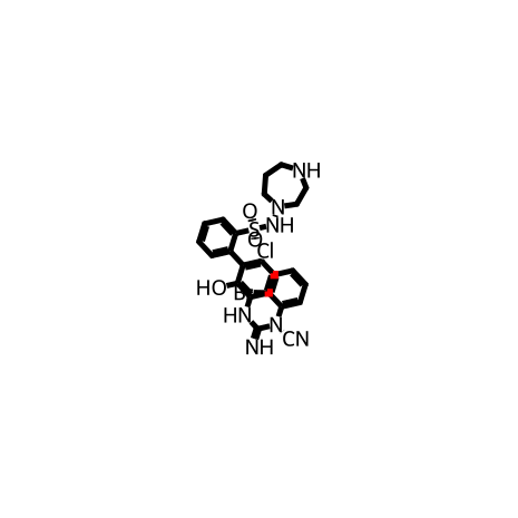 N#CN(C(=N)Nc1ccc(Cl)c(-c2ccccc2S(=O)(=O)NN2CCCNCC2)c1O)c1ccccc1Br